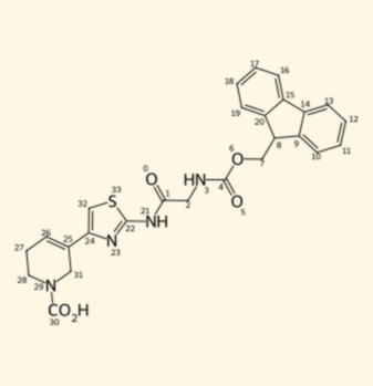 O=C(CNC(=O)OCC1c2ccccc2-c2ccccc21)Nc1nc(C2=CCCN(C(=O)O)C2)cs1